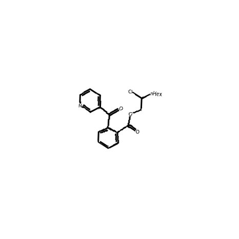 CCCCCCC(Cl)COC(=O)c1ccccc1C(=O)c1cccnc1